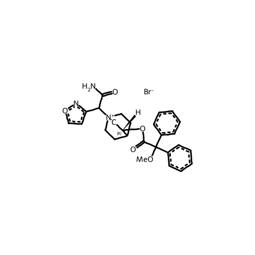 COC(C(=O)O[C@H]1C[N+]2(C(C(N)=O)c3ccon3)CCC1CC2)(c1ccccc1)c1ccccc1.[Br-]